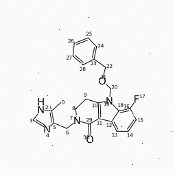 Cc1[nH]cnc1CN1CCc2c(c3cccc(F)c3n2COCc2ccccc2)C1=O